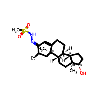 CCC1C[C@@]2(C)C(=CC1=NNS(C)(=O)=O)CC[C@H]1[C@@H]3CC[C@H](O)[C@@]3(C)CC[C@@H]12